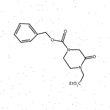 CCOC(=O)CN1CCN(C(=O)OCc2ccccc2)CC1=O